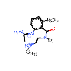 CCN(CCNC=O)C(=O)c1c(/N=C(/C)N)cccc1[N+](=O)[O-]